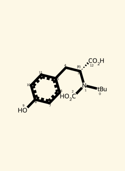 CC(C)(C)N(C(=O)O)[C@H](Cc1ccc(O)cc1)C(=O)O